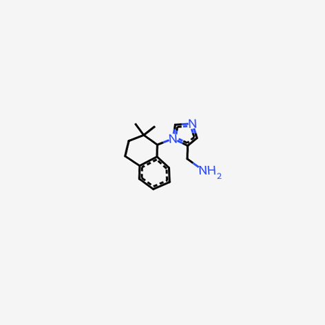 CC1(C)CCc2ccccc2C1n1cncc1CN